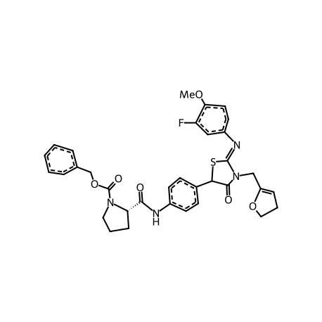 COc1ccc(/N=C2\SC(c3ccc(NC(=O)[C@@H]4CCCN4C(=O)OCc4ccccc4)cc3)C(=O)N2CC2=CCCO2)cc1F